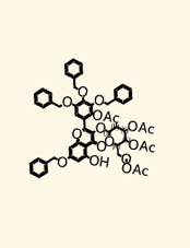 CC(=O)OOC[C@H]1O[C@@H](Oc2c(-c3cc(OCc4ccccc4)c(OCc4ccccc4)c(OCc4ccccc4)c3)oc3cc(OCc4ccccc4)cc(O)c3c2=O)[C@H](OC(C)=O)[C@@H](OC(C)=O)[C@H]1OC(C)=O